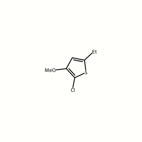 CCc1cc(OC)c(Cl)s1